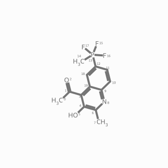 CC(=O)c1c(O)c(C)nc2ccc(P(C)(F)(F)F)cc12